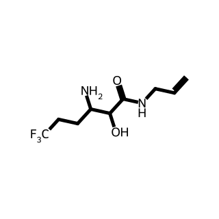 C=CCNC(=O)C(O)C(N)CCC(F)(F)F